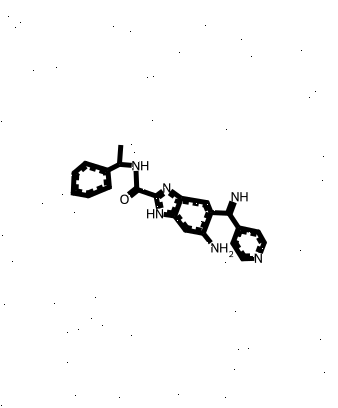 CC(NC(=O)c1nc2cc(C(=N)c3ccncc3)c(N)cc2[nH]1)c1ccccc1